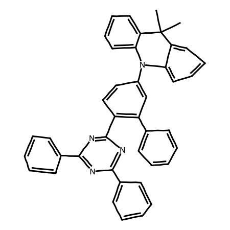 CC1(C)c2ccccc2N(c2ccc(-c3nc(-c4ccccc4)nc(-c4ccccc4)n3)c(-c3ccccc3)c2)c2ccccc21